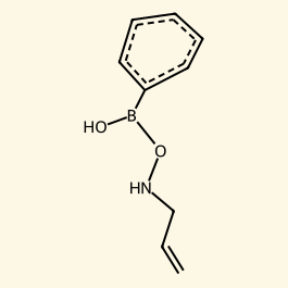 C=CCNOB(O)c1ccccc1